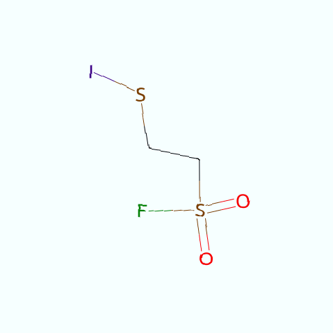 O=S(=O)(F)CCSI